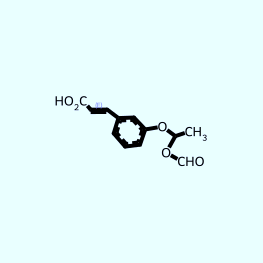 CC(OC=O)Oc1cccc(/C=C/C(=O)O)c1